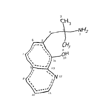 CC(C)(N)Cc1ccc2cccnc2c1O